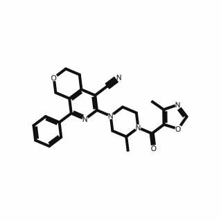 Cc1ncoc1C(=O)N1CCN(c2nc(-c3ccccc3)c3c(c2C#N)CCOC3)CC1C